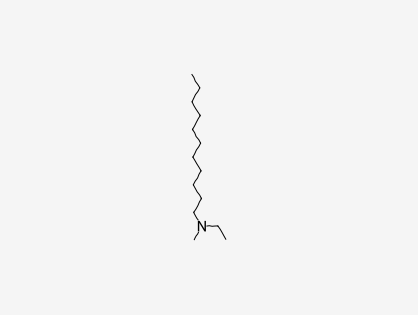 CCCCCCCCCCCN(C)CC